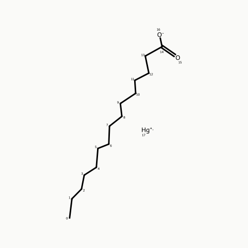 CCCCCCCCCCCCCCC(=O)[O-].[Hg+]